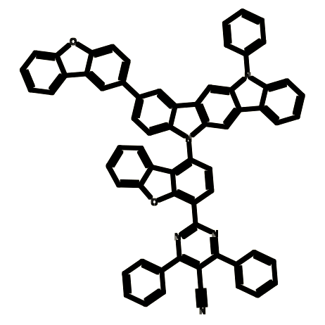 N#Cc1c(-c2ccccc2)nc(-c2ccc(-n3c4ccc(-c5ccc6oc7ccccc7c6c5)cc4c4cc5c(cc43)c3ccccc3n5-c3ccccc3)c3c2oc2ccccc23)nc1-c1ccccc1